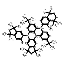 Cc1cc2c(cc1N1c3cc4c(cc3B3c5cc(C(C)(C)C)ccc5N(c5ccc6c(c5C)C(C)(C)CCC6(C)C)c5cc(C(C)(C)C)cc1c53)C(C)(C)CC4(C)C)C(C)(C)CC2(C)C